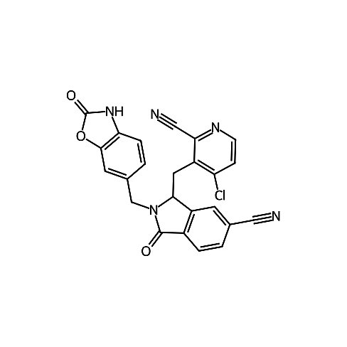 N#Cc1ccc2c(c1)C(Cc1c(Cl)ccnc1C#N)N(Cc1ccc3[nH]c(=O)oc3c1)C2=O